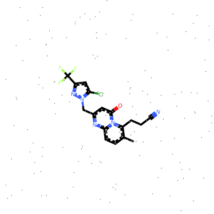 Cc1ccc2nc(Cn3nc(C(F)(F)F)cc3Cl)cc(=O)n2c1CCC#N